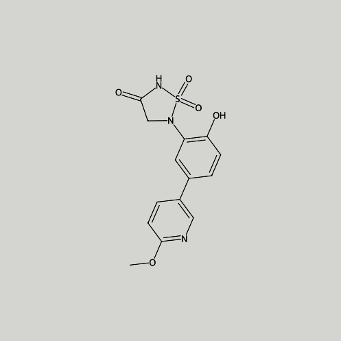 COc1ccc(-c2ccc(O)c(N3CC(=O)NS3(=O)=O)c2)cn1